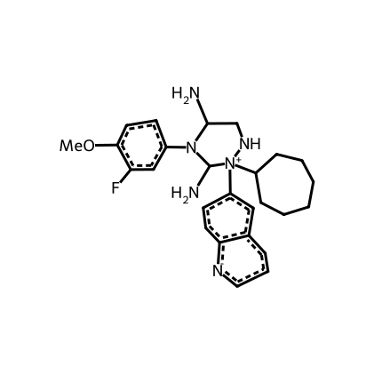 COc1ccc(N2C(N)CN[N+](c3ccc4ncccc4c3)(C3CCCCCC3)C2N)cc1F